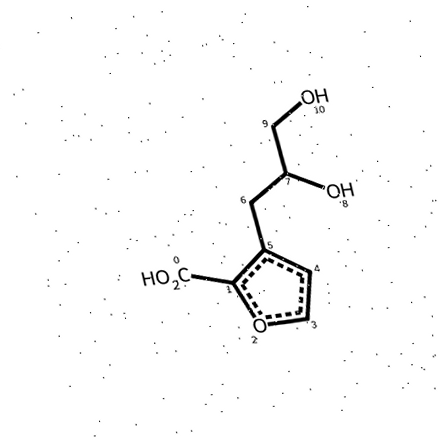 O=C(O)c1occc1CC(O)CO